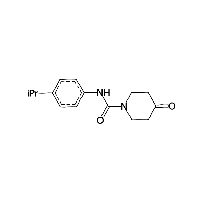 CC(C)c1ccc(NC(=O)N2CCC(=O)CC2)cc1